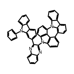 c1ccc(-n2c3ccccc3c3ccc(-c4nc5ccccc5nc4-n4c5cccc6c7cccc8c9ccccc9n(c9cccc4c9c65)c78)cc32)cc1